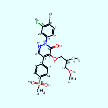 C[C@H](COc1c(-c2ccc(S(C)(=O)=O)cc2)cnn(-c2ccc(F)c(F)c2)c1=O)COC(C)(C)C